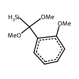 COc1ccccc1C([SiH3])(OC)OC